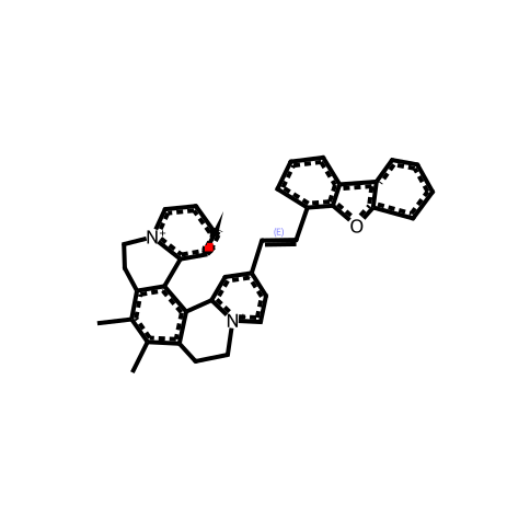 Cc1c(C)c2c(c3c1CC[n+]1ccc(/C=C/c4cccc5c4oc4ccccc45)cc1-3)-c1c3ccccc3cc[n+]1CC2